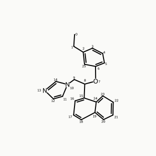 CCc1cccc(OC(Cn2ccnc2)c2cccc3ccccc23)c1